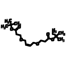 CC(C)(C)OC(=O)CCOC/C=C\COCCC(=O)OC(C)(C)C